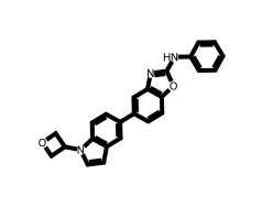 c1ccc(Nc2nc3cc(-c4ccc5c(ccn5C5COC5)c4)ccc3o2)cc1